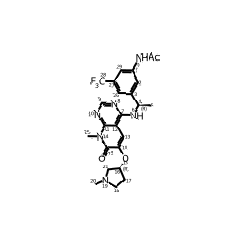 CC(=O)Nc1cc([C@@H](C)Nc2ncnc3c2cc(O[C@@H]2CCN(C)C2)c(=O)n3C)cc(C(F)(F)F)c1